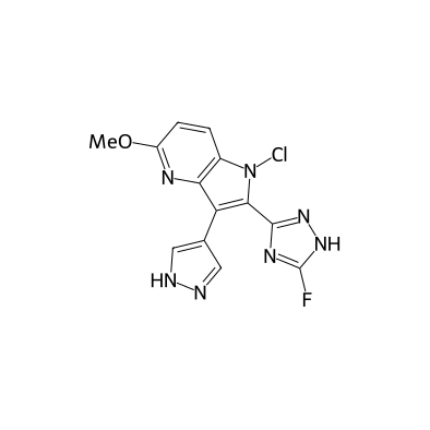 COc1ccc2c(n1)c(-c1cn[nH]c1)c(-c1n[nH]c(F)n1)n2Cl